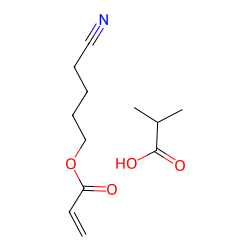 C=CC(=O)OCCCCC#N.CC(C)C(=O)O